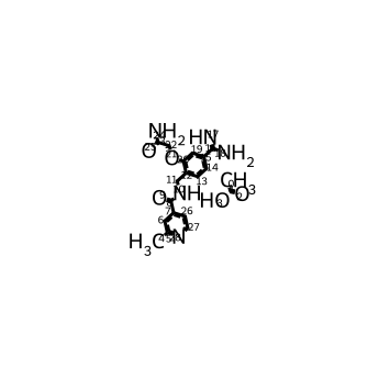 CC(=O)O.Cc1cc(C(=O)NCc2ccc(C(=N)N)cc2OCC(N)=O)ccn1